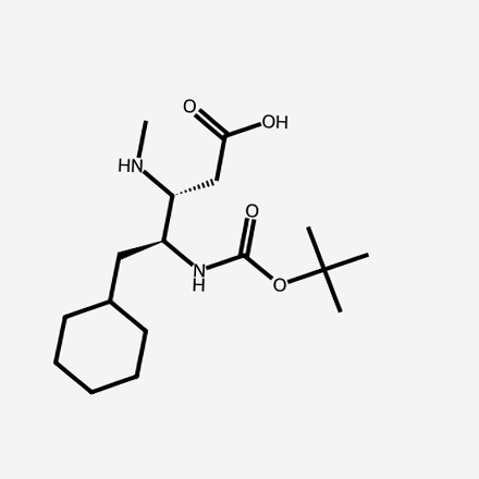 CN[C@H](CC(=O)O)[C@H](CC1CCCCC1)NC(=O)OC(C)(C)C